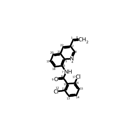 C=Cc1cnc2c(NC(=O)c3c(Cl)cccc3Cl)cccc2c1